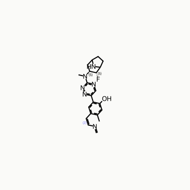 C=N/C=C\c1cc(-c2cnc(N(C)[C@H]3CC4CCC(N4)[C@@H]3F)nn2)c(O)cc1C